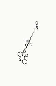 O=C=NCCCCCCNC(=O)OCCOc1cccc2sc3ccccc3c(=O)c12